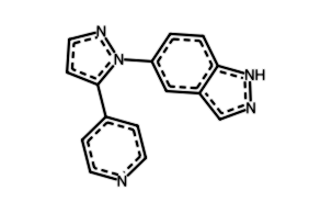 c1cc(-c2ccnn2-c2ccc3[nH]ncc3c2)ccn1